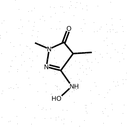 CC1C(=O)N(C)N=C1NO